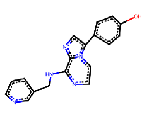 Oc1ccc(-c2cnc3c(NCc4cccnc4)nccn23)cc1